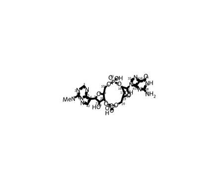 CNc1ncnc2c(C3OC4COP(=O)(O)OC5C(O)C(COP(=O)(O)OC4C3O)OC5n3cnc4c(=O)[nH]c(N)nc43)cnn12